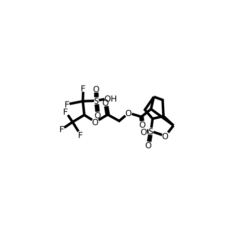 O=C(COC(=O)C1C2CC3C1OS(=O)(=O)C3C2)OC(C(F)(F)F)C(F)(F)S(=O)(=O)O